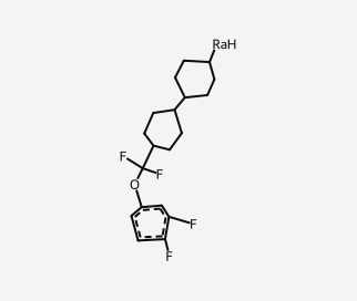 Fc1ccc(OC(F)(F)C2CCC(C3CC[CH]([RaH])CC3)CC2)cc1F